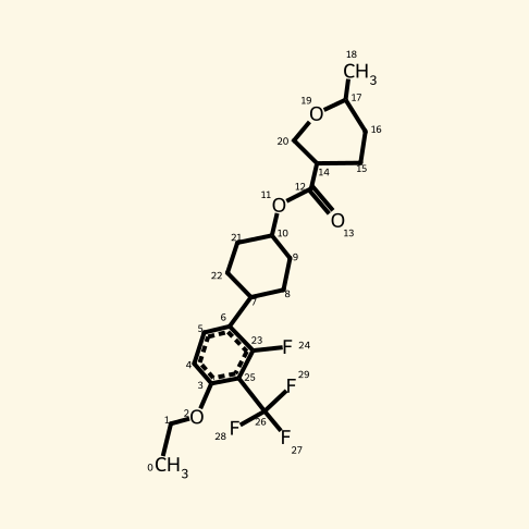 CCOc1ccc(C2CCC(OC(=O)C3CCC(C)OC3)CC2)c(F)c1C(F)(F)F